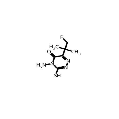 CC(C)(CF)c1nnc(S)n(N)c1=O